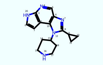 c1cc2c(ncc3nc(C4CC4)n(C4CCNCC4)c32)[nH]1